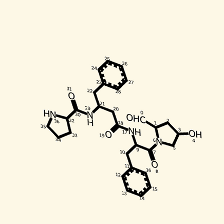 O=CC1CC(O)CN1C(=O)C(Cc1ccccc1)NC(=O)CC(Cc1ccccc1)NC(=O)C1CCCN1